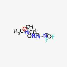 Cc1c(N2CCCN(CCCn3ccc4cc(F)cc(F)c43)CC2)cccc1N1CC(C)OC(C)C1